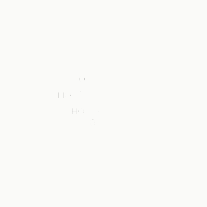 O=C(O)CC1(CC(=O)O)CCCCC1(C1CCCCC1)C1CCCCC1